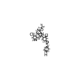 CC1(Oc2ncnc3c2nc(-c2ccc(OCCN4CCNCC4)cc2Cl)n3Cc2cc(Cl)ccn2)CC1